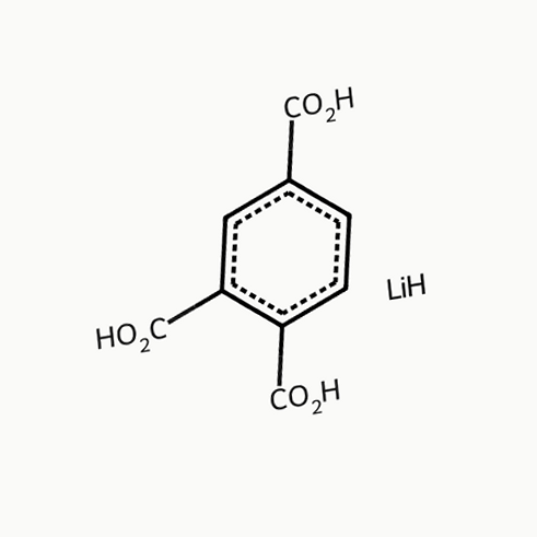 O=C(O)c1ccc(C(=O)O)c(C(=O)O)c1.[LiH]